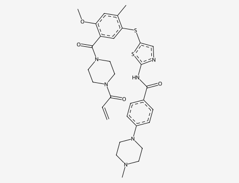 C=CC(=O)N1CCN(C(=O)c2cc(Sc3cnc(NC(=O)c4ccc(N5CCN(C)CC5)cc4)s3)c(C)cc2OC)CC1